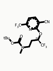 CN(CC[C@@H](Oc1nc(C(F)(F)F)ccc1C#N)C(F)(F)F)C(=O)OC(C)(C)C